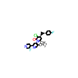 Cc1cnc(-c2ccncc2F)cc1-n1c(C)cc([C@H]2C[C@@H]2c2ccc(F)cc2)c(Cl)c1=O